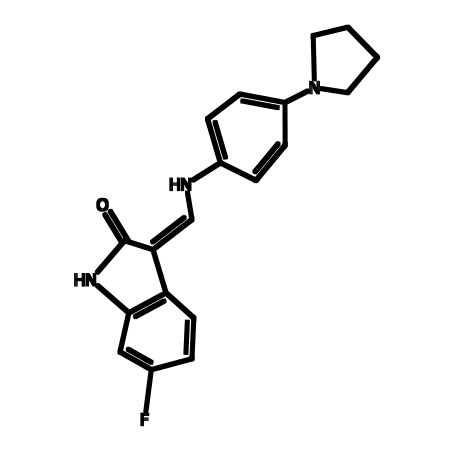 O=C1Nc2cc(F)ccc2C1=CNc1ccc(N2CCCC2)cc1